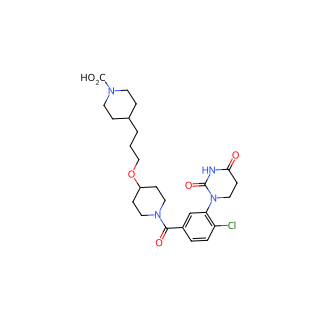 O=C1CCN(c2cc(C(=O)N3CCC(OCCCC4CCN(C(=O)O)CC4)CC3)ccc2Cl)C(=O)N1